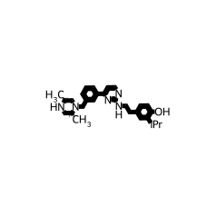 CC(C)c1cc(CCNc2nccc(-c3cccc(CN4C[C@H](C)NC[C@@H]4C)c3)n2)ccc1O